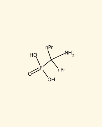 CCCC(N)(CCC)P(=O)(O)O